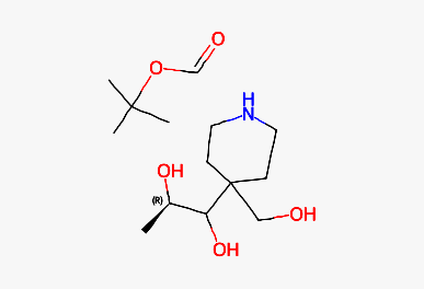 CC(C)(C)OC=O.C[C@@H](O)C(O)C1(CO)CCNCC1